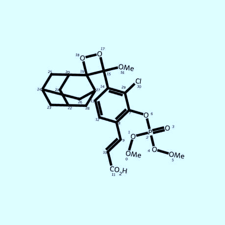 COOP(=O)(OOC)Oc1c(/C=C/C(=O)O)ccc(C2(OC)OOC23C2CC4CC(C2)CC3C4)c1Cl